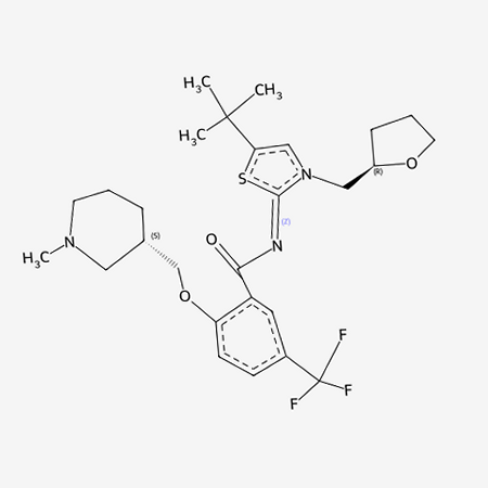 CN1CCC[C@H](COc2ccc(C(F)(F)F)cc2C(=O)/N=c2\sc(C(C)(C)C)cn2C[C@H]2CCCO2)C1